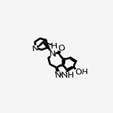 O=C1c2ccc(O)c3[nH]nc(c23)CCN1[C@@H]1CN2CCC1CC2